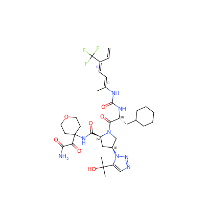 C=C/C(=C\C=C(/C)NC(=O)N[C@H](CC1CCCCC1)C(=O)N1C[C@@H](n2nncc2C(C)(C)O)C[C@H]1C(=O)NC1(C(=O)C(N)=O)CCOCC1)C(F)(F)F